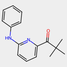 CC(C)(C)C(=O)c1cccc(Nc2ccccc2)n1